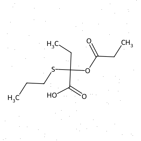 CCCSC(CC)(OC(=O)CC)C(=O)O